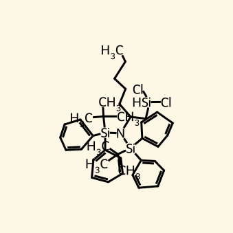 CCCCCC(C[SiH](Cl)Cl)N([Si](c1ccccc1)(c1ccccc1)C(C)(C)C)[Si](c1ccccc1)(c1ccccc1)C(C)(C)C